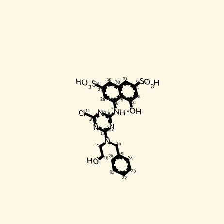 O=S(=O)(O)c1cc(O)c2c(Nc3nc(Cl)nc(N(CCO)Cc4ccccc4)n3)cc(S(=O)(=O)O)cc2c1